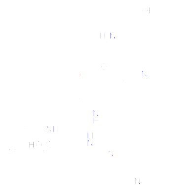 NC(O)C1CCCN1C(=O)C(Cc1cncn1NCC(=O)O)NC(=O)C1CCC(=O)N1